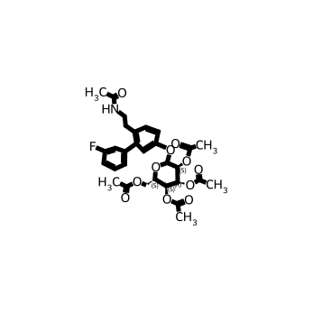 CC(=O)NCCc1ccc(OC2O[C@@H](COC(C)=O)[C@H](OC(C)=O)[C@@H](OC(C)=O)[C@@H]2OC(C)=O)cc1-c1cccc(F)c1